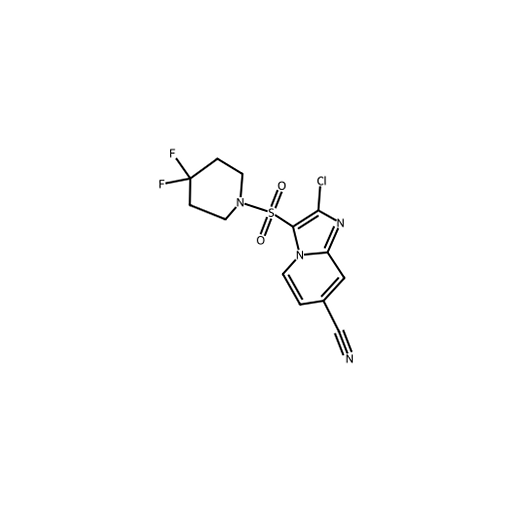 N#Cc1ccn2c(S(=O)(=O)N3CCC(F)(F)CC3)c(Cl)nc2c1